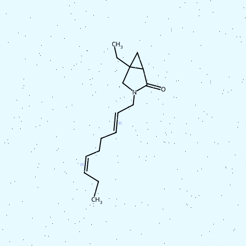 CC/C=C\CC/C=C/CN1CC2(CC)CC2C1=O